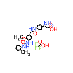 COc1cc(CC(=O)Nc2ccc([C@H](N)CC(=O)O)cc2)ccc1NC(=O)Nc1ccccc1C.O=C(O)C(F)(F)F